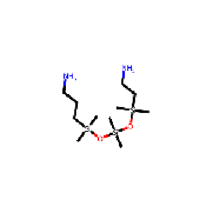 C[Si](C)(CCN)O[Si](C)(C)O[Si](C)(C)CCCN